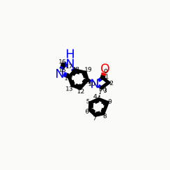 O=C1C[C@H](c2ccccc2)N1c1ccc2nc[nH]c2c1